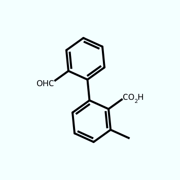 Cc1cccc(-c2ccccc2C=O)c1C(=O)O